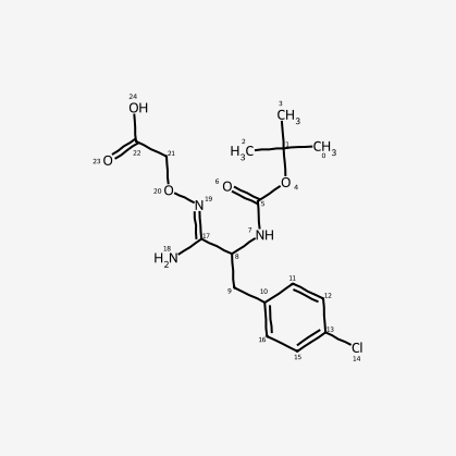 CC(C)(C)OC(=O)NC(Cc1ccc(Cl)cc1)/C(N)=N/OCC(=O)O